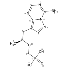 C[C@@H](Cc1cnn2c(N)ncnc12)OCP(=O)(O)O